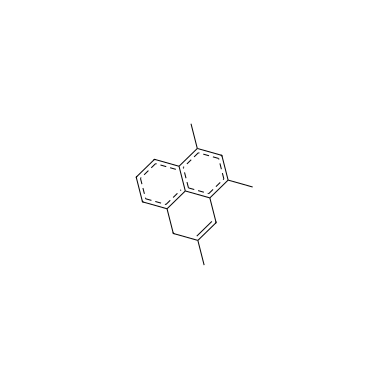 CC1=Cc2c(C)cc(C)c3cccc(c23)C1